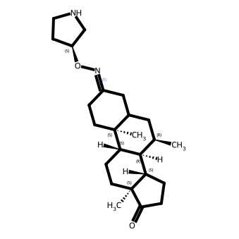 C[C@@H]1CC2C/C(=N/O[C@H]3CCNC3)CC[C@]2(C)[C@H]2CC[C@]3(C)C(=O)CC[C@H]3[C@H]12